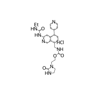 CCNC(=O)Nc1cc2c(-c3ccncc3)ccc(CNC(=O)OCCN3CCNC3=O)c2cn1.Cl